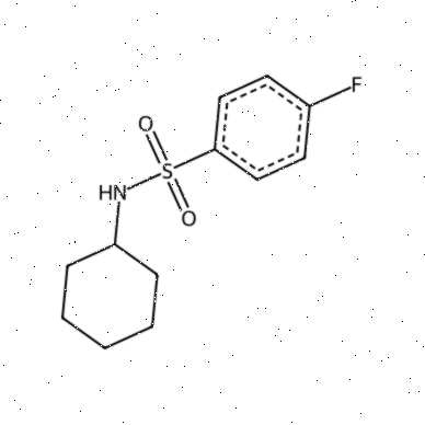 O=S(=O)(NC1CCCCC1)c1ccc(F)cc1